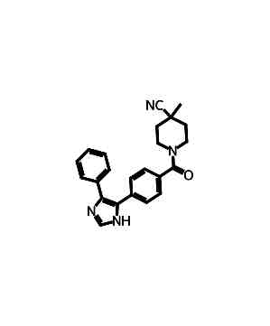 CC1(C#N)CCN(C(=O)c2ccc(-c3[nH]cnc3-c3ccccc3)cc2)CC1